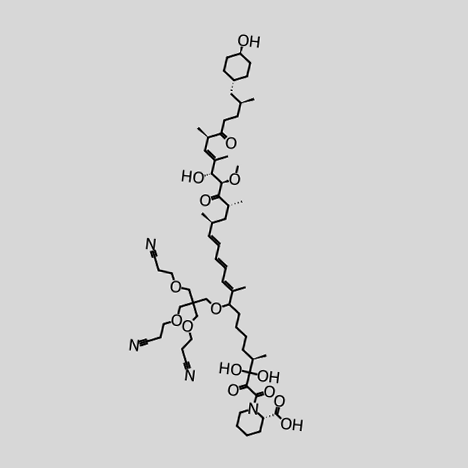 CO[C@@H](C(=O)[C@H](C)C[C@H](C)/C=C/C=C/C=C(\C)C(CCCC[C@@H](C)C(O)(O)C(=O)C(=O)N1CCCC[C@H]1C(=O)O)OCC(COCCC#N)(COCCC#N)COCCC#N)[C@H](O)/C(C)=C/[C@@H](C)C(=O)CC[C@H](C)C[C@H]1CC[C@H](O)CC1